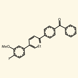 C=C(/C=C\C(=C/CC)c1ccc(I)c(OC)c1)c1ccc(C(=O)c2ccccc2)cc1